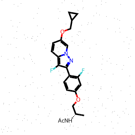 CC(=O)N[C@@H](C)COc1ccc(-c2nn3cc(OCC4CC4)ccc3c2F)c(F)c1